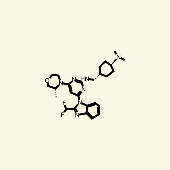 C[C@@H]1COCCN1c1cc(-n2c(C(F)F)nc3ccccc32)nc(NC[C@H]2CC[C@H](N(C)C)CC2)n1